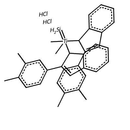 Cc1ccc(C2=Cc3ccccc3[CH]2[Ti]([CH3])([CH3])(=[SiH2])[CH]2C(c3ccc(C)c(C)c3)=Cc3ccccc32)cc1C.Cl.Cl